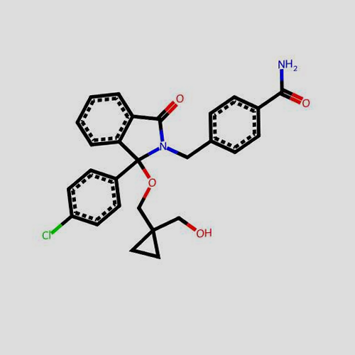 NC(=O)c1ccc(CN2C(=O)c3ccccc3C2(OCC2(CO)CC2)c2ccc(Cl)cc2)cc1